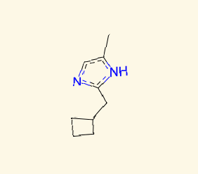 Cc1cnc(CC2CCC2)[nH]1